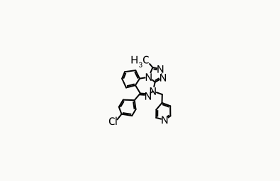 Cc1nnc2n1-c1ccccc1C(c1ccc(Cl)cc1)=NN2Cc1ccncc1